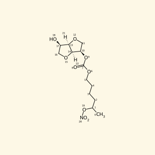 CC(CCCCOC(=O)O[C@@H]1CO[C@H]2[C@@H]1OC[C@H]2O)O[N+](=O)[O-]